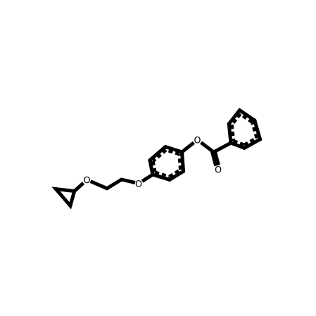 O=C(Oc1ccc(OCCOC2CC2)cc1)c1ccccc1